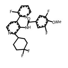 COc1c(F)cc(C(=O)Nc2c(-c3ncccc3F)ccnc2C2CCC(F)(F)CC2)cc1F